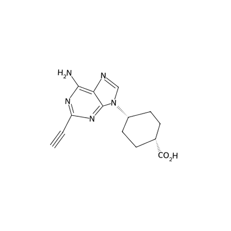 C#Cc1nc(N)c2ncn([C@H]3CC[C@@H](C(=O)O)CC3)c2n1